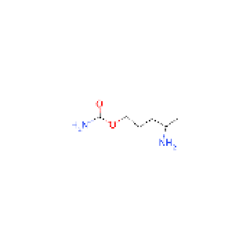 CC(N)CCCOC(N)=O